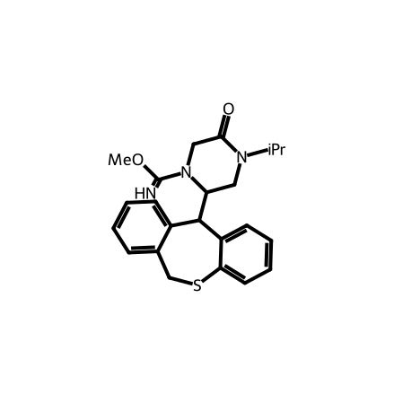 COC(=N)N1CC(=O)N(C(C)C)CC1C1c2ccccc2CSc2ccccc21